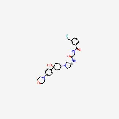 O=C(CNC(=O)c1cccc(CF)c1)N[C@@H]1CCN(C2CCC(O)(c3ccc(N4CCOCC4)cc3)CC2)C1